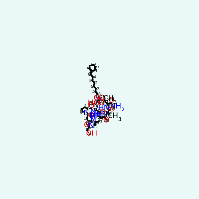 CC(C)C[C@H](NC(=O)[C@@H]1CCCN1C(=O)CCOCCO)C(=O)N[C@@H](Cc1cnc[nH]1)C(=O)N[C@@H](C)C(=O)N[C@H](C(N)=O)[C@@H](C)OP(=O)(O)OCCCCCCCCc1ccccc1